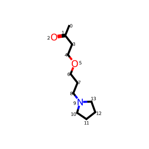 CC(=O)CCOCCCN1CCCC1